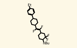 CCCCC1CCC(/C(F)=C(\F)C2CCC(c3ccc(CC)cc3)CC2)CC1(F)F